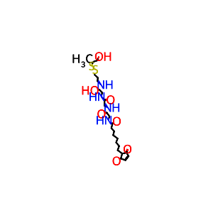 CC(CO)SSCCCNC(O)CNC(=O)CNC(=O)CNC(=O)CCCCCCCC1C(=O)C=CC1=O